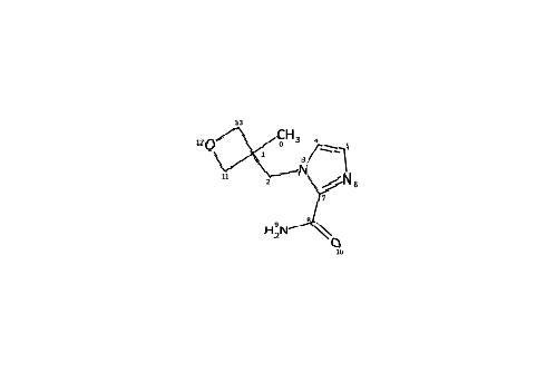 CC1(Cn2c[c]nc2C(N)=O)COC1